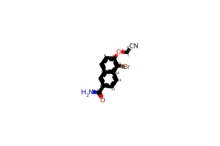 N#CCOc1ccc2cc(C(N)=O)ccc2c1Br